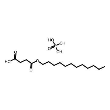 CCCCCCCCCCCCOC(=O)CCC(=O)O.O=P(O)(O)O